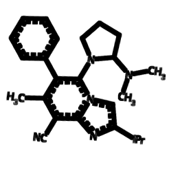 Cc1c(-c2ccccc2)c(N2CCCC2N(C)C)n2cc(C(C)C)nc2c1C#N